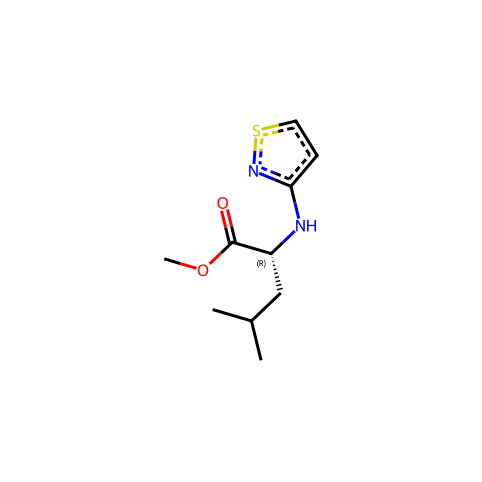 COC(=O)[C@@H](CC(C)C)Nc1ccsn1